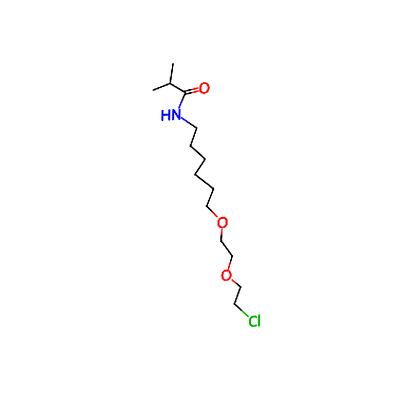 CC(C)C(=O)NCCCCCCOCCOCCCl